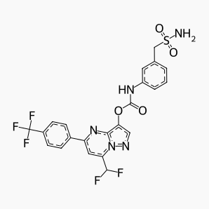 NS(=O)(=O)Cc1cccc(NC(=O)Oc2cnn3c(C(F)F)cc(-c4ccc(C(F)(F)F)cc4)nc23)c1